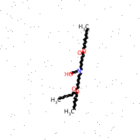 CCCCCCCCCCCOC(=O)CCCCCCCN(CCCO)CCCCCCCC(=O)OC(CCCCCCCC)CCCCCCCC